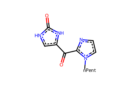 CCCCCn1ccnc1C(=O)c1c[nH]c(=O)[nH]1